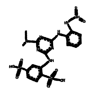 CN(C)c1nc(Nc2ccccc2N[SH](=O)=O)nc(Nc2cc(S(=O)(=O)O)ccc2S(=O)(=O)O)n1